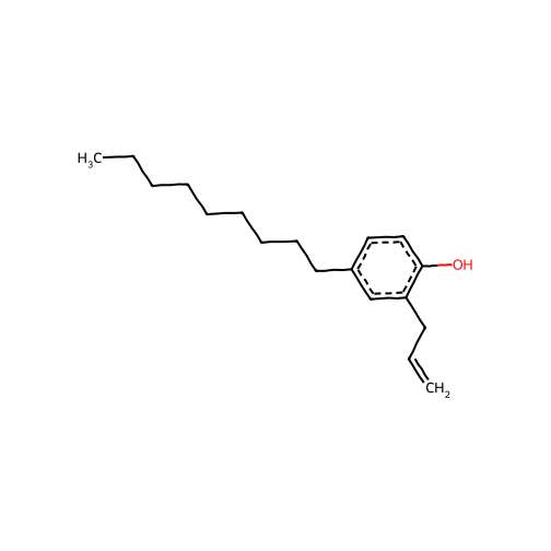 C=CCc1cc(CCCCCCCCC)ccc1O